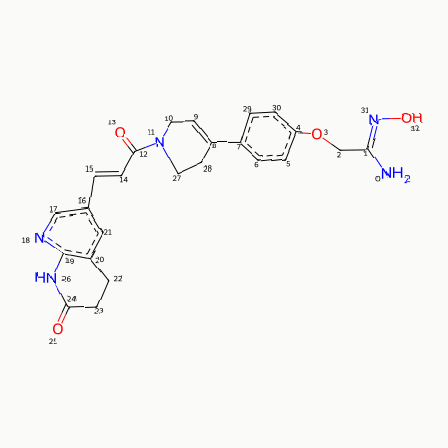 NC(COc1ccc(C2=CCN(C(=O)C=Cc3cnc4c(c3)CCC(=O)N4)CC2)cc1)=NO